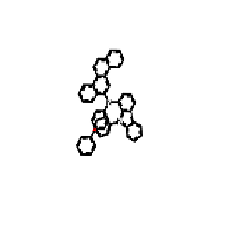 C1=CCCC(n2c3ccccc3c3cccc(N(c4ccc(-c5ccccc5)cc4)c4cc5c6ccccc6ccc5c5ccccc45)c32)=C1